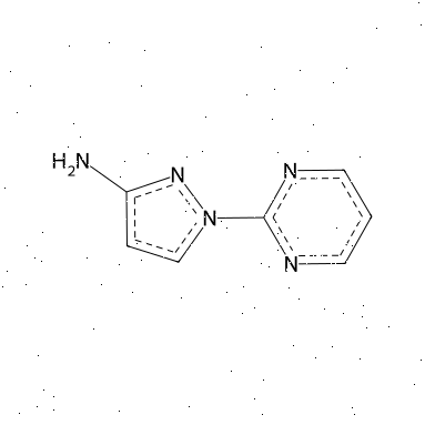 Nc1ccn(-c2ncccn2)n1